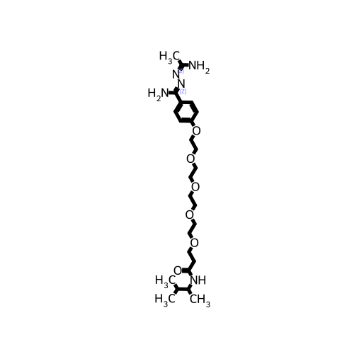 C/C(N)=N/N=C(\N)c1ccc(OCCOCCOCCOCCOCCC(=O)NC(C)C(C)C)cc1